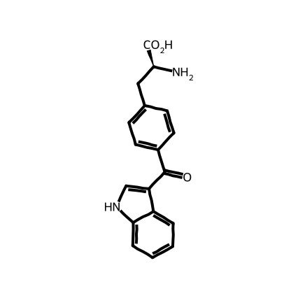 N[C@@H](Cc1ccc(C(=O)c2c[nH]c3ccccc23)cc1)C(=O)O